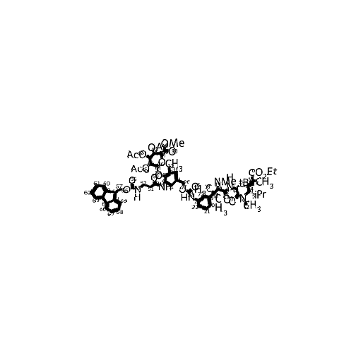 CCOC(=O)C(C)=C[C@H](C(C)C)N(C)C(=O)[C@@H](NC(=O)[C@H](NC)C(C)(C)c1cccc(NC(=O)OCc2cc(C)c(O[C@@H]3O[C@H](C(=O)OC)[C@@H](OC(C)=O)C(OC(C)=O)[C@H]3OC(C)=O)c(NC(=O)CCNC(=O)OCC3c4ccccc4-c4ccccc43)c2)c1)C(C)(C)C